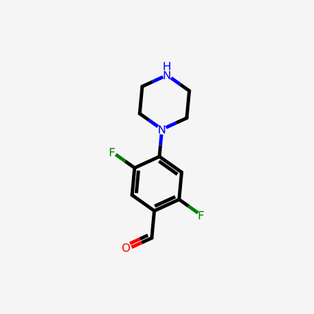 O=Cc1cc(F)c(N2CCNCC2)cc1F